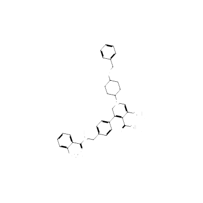 COc1ccccc1C(=O)NCc1ccc(C2=C(C(N)=O)C(N)=CN(C3CCC(OCc4ccccc4)CC3)C2)cc1